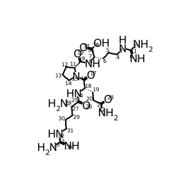 N=C(N)NCCC[C@H](NC(=O)[C@@H]1CCCN1C(=O)[C@H](CCC(N)=O)NC(=O)[C@@H](N)CCCNC(=N)N)C(=O)O